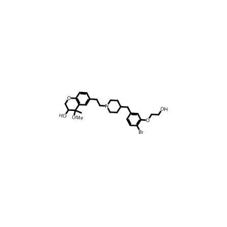 COC1(C)c2cc(CCN3CCC(Cc4ccc(Br)c(OCCO)c4)CC3)ccc2OCC1O